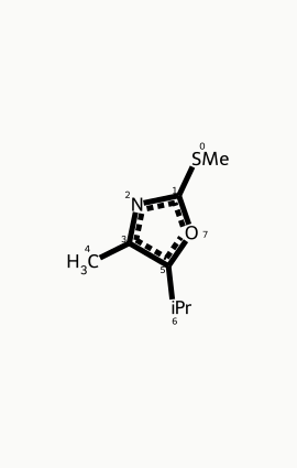 CSc1nc(C)c(C(C)C)o1